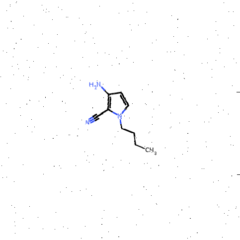 C[CH]CCn1ccc(N)c1C#N